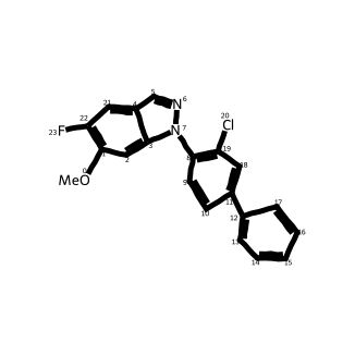 COc1cc2c(cnn2-c2ccc(-c3ccccc3)cc2Cl)cc1F